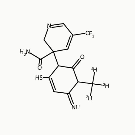 [2H]C([2H])([2H])C1C(=N)C=C(S)C(C2(C(N)=O)C=C(C(F)(F)F)C=NC2)C1=O